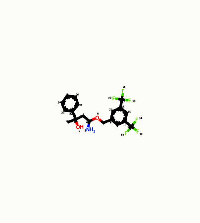 CC(O)(CC(N)OCc1cc(C(F)(F)F)cc(C(F)(F)F)c1)c1ccccc1